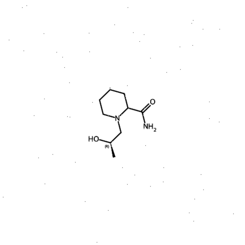 C[C@@H](O)CN1CC[CH]CC1C(N)=O